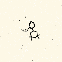 CC1(C)C=C(c2ccccc2O)CC(C)(C)C1